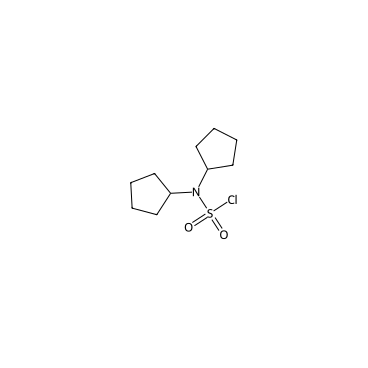 O=S(=O)(Cl)N(C1CCCC1)C1CCCC1